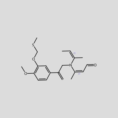 C=C(CN(/C(C)=C\C)/C(C)=C\C=O)c1ccc(OC)c(OCSC)c1